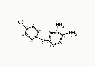 Nc1cnc(Oc2ccc(Cl)cc2)cc1N